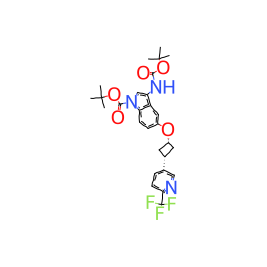 CC(C)(C)OC(=O)Nc1cn(C(=O)OC(C)(C)C)c2ccc(O[C@H]3C[C@@H](c4ccc(C(F)(F)F)nc4)C3)cc12